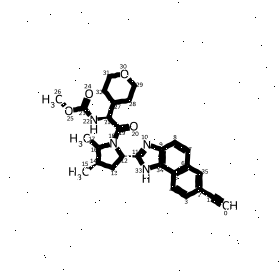 C#Cc1ccc2c(ccc3nc([C@@H]4C[C@@H](C)C(C)N4C(=O)[C@@H](NC(=O)OC)C4CCOCC4)[nH]c32)c1